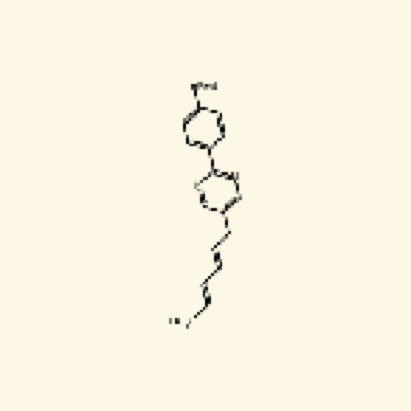 CCCCCc1ccc(-c2ncc(C/C=C/C=C/C(=O)O)cn2)cc1